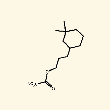 CC1(C)CCCC(CCCOC(=O)C(=O)O)C1